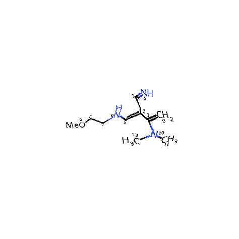 C=C(/C(C=N)=C/NCCOC)N(C)C